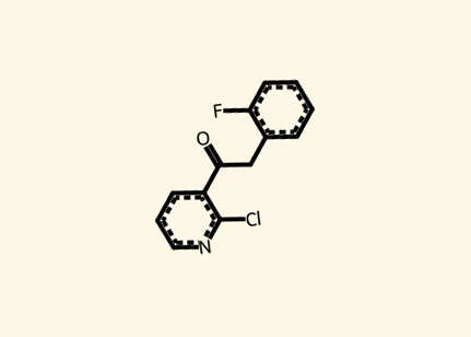 O=C(Cc1ccccc1F)c1cccnc1Cl